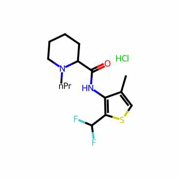 CCCN1CCCCC1C(=O)Nc1c(C)csc1C(F)F.Cl